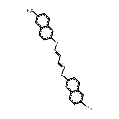 Cc1ccc2nc(O/N=C/C=N/Oc3ccc4cc(C)ccc4n3)ccc2c1